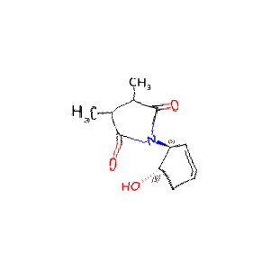 CC1C(=O)N([C@H]2C=CC[C@@H]2O)C(=O)C1C